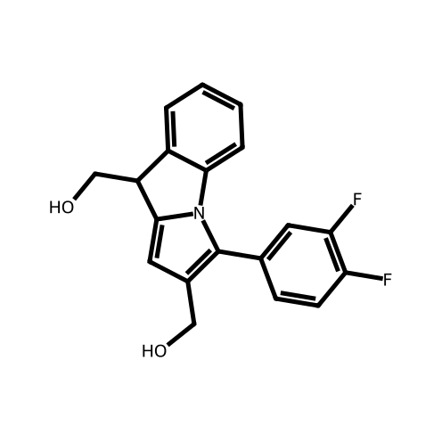 OCc1cc2n(c1-c1ccc(F)c(F)c1)-c1ccccc1C2CO